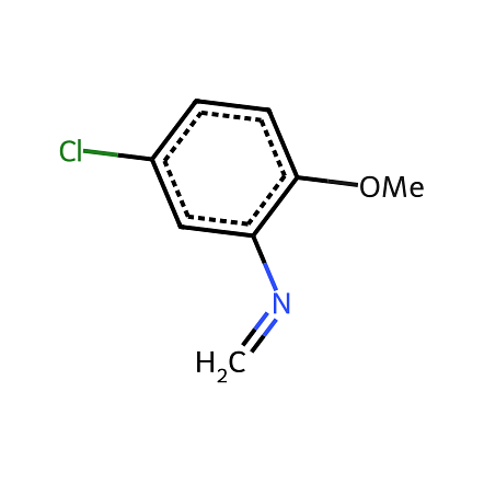 C=Nc1cc(Cl)ccc1OC